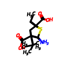 CCC1(C(=O)O)CC(C(=O)O)(C(C)(C)C)C(N)S1